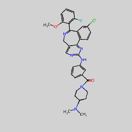 COc1cccc(F)c1C1=NCc2cnc(Nc3cccc(C(=O)N4CCC(N(C)C)CC4)c3)nc2-c2ccc(Cl)cc21